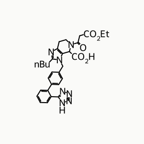 CCCCc1nc2c(n1Cc1ccc(-c3ccccc3-c3nnn[nH]3)cc1)C(C(=O)O)N(C(=O)CC(=O)OCC)CC2